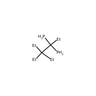 CCC(P)(P)C(CC)(CC)CC